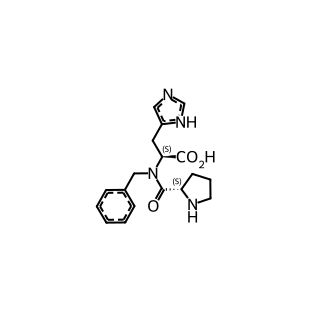 O=C(O)[C@H](Cc1cnc[nH]1)N(Cc1ccccc1)C(=O)[C@@H]1CCCN1